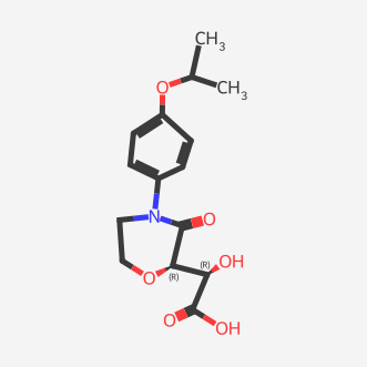 CC(C)Oc1ccc(N2CCO[C@H]([C@@H](O)C(=O)O)C2=O)cc1